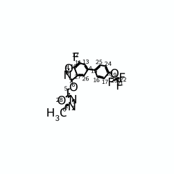 Cc1nnc(COc2noc3c(F)cc(-c4ccc(OC(F)(F)F)cc4)cc23)o1